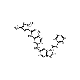 Cc1cc(C(=O)Nc2cc(Nc3ccc4cnn(C=Cc5ccccn5)c4c3)ccc2C)n(C)n1